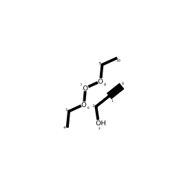 C#CCO.CCOOOCC